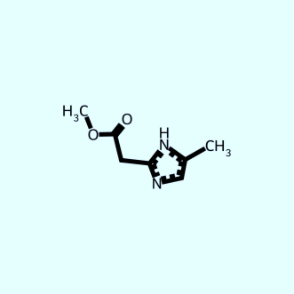 COC(=O)Cc1ncc(C)[nH]1